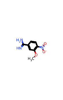 COc1cc(C(=N)N)ccc1[N+](=O)[O-]